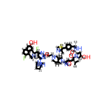 C#Cc1c(F)ccc2cc(O)cc(-c3ncc4c(N5CC6CCC(C5)N6)nc(OCCN5CC[C@H]6CN(c7cc([C@H](C(=O)N8C[C@H](O)C[C@H]8C(=O)N[C@@H](C)c8ccc(-c9scnc9C)cc8)C(C)C)on7)C[C@H]6C5)nc4c3F)c12